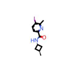 Cc1nc(C(=O)N[C@H]2C[C@H](C)C2)ccc1I